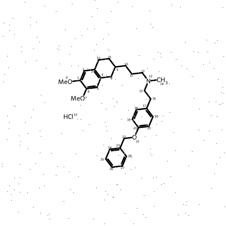 COc1cc2c(cc1OC)CC(CCCN(C)CCc1ccc(OCc3ccccc3)cc1)CC2.Cl